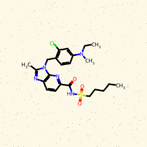 CCCCCS(=O)(=O)NC(=O)c1ccc2nc(C)n(Cc3ccc(N(C)CC)cc3Cl)c2n1